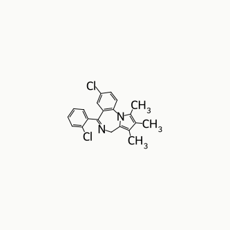 Cc1c(C)c2n(c1C)-c1ccc(Cl)cc1C(c1ccccc1Cl)=NC2